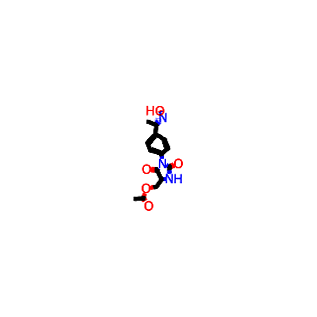 CC(=O)OCC1NC(=O)N(c2ccc(/C(C)=N/O)cc2)C1=O